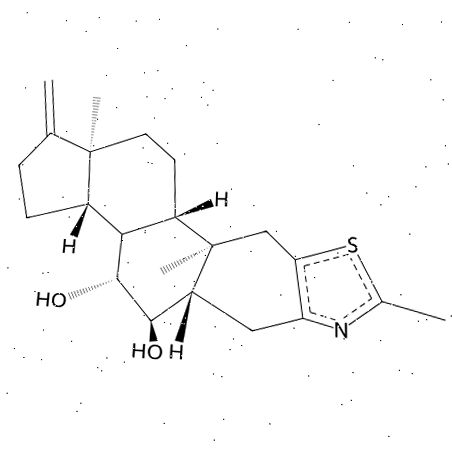 C=C1CC[C@H]2C3[C@@H](O)[C@H](O)[C@H]4Cc5nc(C)sc5C[C@]4(C)[C@H]3CC[C@]12C